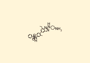 CCc1cc(-c2ccc(NS(=O)(=O)c3ccccc3)cc2C)cc2cnc(N[C@H]3CC[C@H](N)CC3)nc12